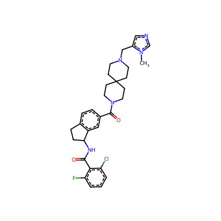 Cn1cncc1CN1CCC2(CC1)CCN(C(=O)c1ccc3c(c1)C(NC(=O)c1c(F)cccc1Cl)CC3)CC2